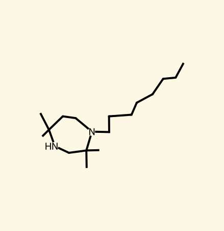 CCCCCCCCN1CCC(C)(C)NCC1(C)C